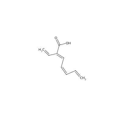 C=C/C=C\C=C(/C=C)C(=O)O